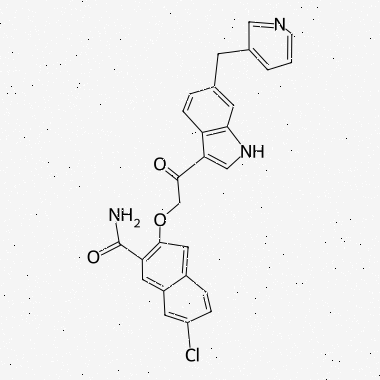 NC(=O)c1cc2cc(Cl)ccc2cc1OCC(=O)c1c[nH]c2cc(Cc3cccnc3)ccc12